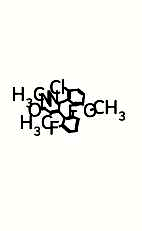 COc1ccc(Cl)c(-c2nn(C)c(=O)c(C)c2-c2c(F)cccc2F)c1